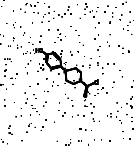 O=C(Cl)N1CCN(c2ccc(O)cc2)CC1